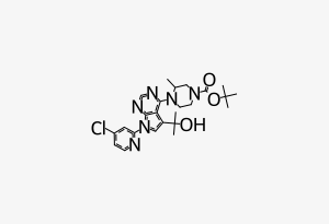 CC1CN(C(=O)OC(C)(C)C)CCN1c1ncnc2c1c(C(C)(C)O)cn2-c1cc(Cl)ccn1